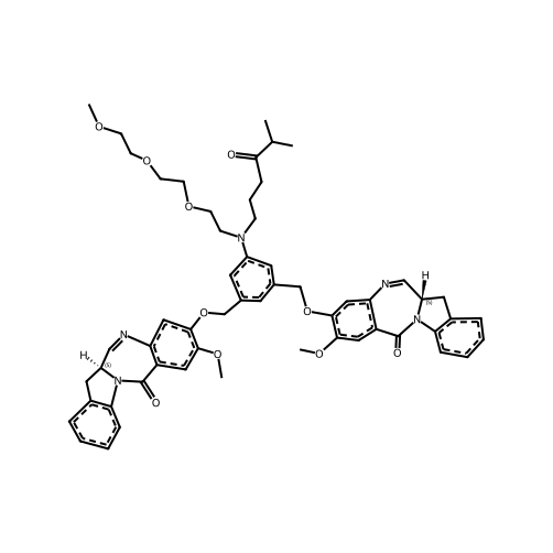 COCCOCCOCCN(CCCC(=O)C(C)C)c1cc(COc2cc3c(cc2OC)C(=O)N2c4ccccc4C[C@H]2C=N3)cc(COc2cc3c(cc2OC)C(=O)N2c4ccccc4C[C@H]2C=N3)c1